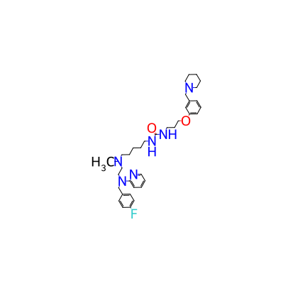 CN(CCCCCNC(=O)NCCCOc1cccc(CN2CCCCC2)c1)CCN(Cc1ccc(F)cc1)c1ccccn1